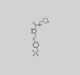 O=C(NCC1CCOC1)c1cc(COc2ccc(SC(F)(F)F)cc2)on1